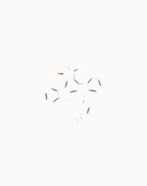 N[C@H]1C=CC(n2c3ccccc3c3c4c(c5c6ccccc6[nH]c5c32)C(=O)NC4=O)C1